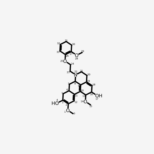 COC1=C(O)CC2CC3C4=C(C2=C1)C(OC)C(O)C=C4CCN3CCOC1=C(OC)CCC=C1